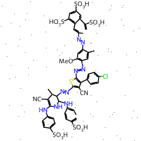 C=C(/C=C\C(=C/C)NC1NC(Nc2ccc(S(=O)(=O)O)cc2)=C(C#N)C(C)C1/N=N/c1sc(/N=N/c2cc(C)c(/N=N/C(C)=C/c3c(C(=C)S(=O)(=O)O)cc(S(=O)(=O)O)cc3S(=O)(=O)O)cc2OC)c(-c2ccc(Cl)cc2)c1C#N)S(=O)(=O)O